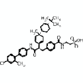 Cc1cc(Cl)ccc1-c1ccc(NC(=O)[C@H](Cc2ccc(C(=O)NCCS(=O)(=O)O)cc2)C2=CCC(C)([C@H]3CC[C@@H](C(C)(C)C)CC3)C=C2)cc1